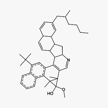 CCCCC(C)CC1=CC2C(C=C1)C=CC1C2CC2N=CC3=C(c4cc(C(C)(C)C)c5ccccc5c4C4(C)C(O)(OC)C34C)C21